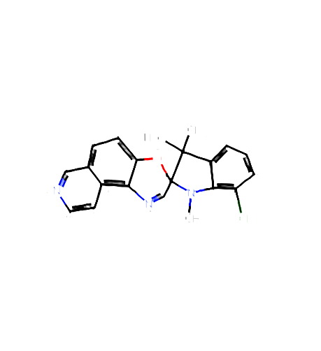 CN1c2c(Cl)cccc2C(C)(C)C12C=Nc1c(ccc3cnccc13)O2